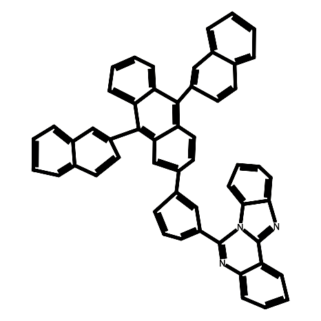 c1cc(-c2ccc3c(-c4ccc5ccccc5c4)c4ccccc4c(-c4ccc5ccccc5c4)c3c2)cc(-c2nc3ccccc3c3nc4ccccc4n23)c1